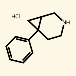 Cl.c1ccc(C23CCNCC2C3)cc1